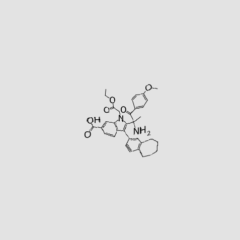 CCOC(=O)Cn1c(C(C)(N)C(=O)c2ccc(OC)cc2)c(-c2c#cc3c(c2)CCCCC3)c2ccc(C(=O)O)cc21